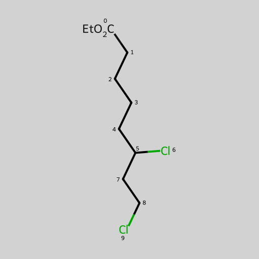 CCOC(=O)CCCCC(Cl)CCCl